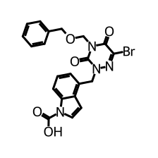 O=C(O)n1ccc2c(Cn3nc(Br)c(=O)n(COCc4ccccc4)c3=O)cccc21